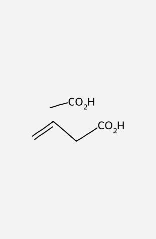 C=CCC(=O)O.CC(=O)O